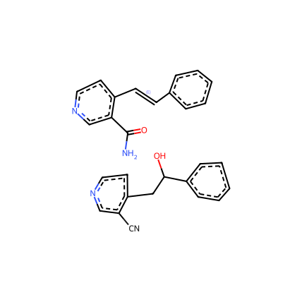 N#Cc1cnccc1CC(O)c1ccccc1.NC(=O)c1cnccc1/C=C/c1ccccc1